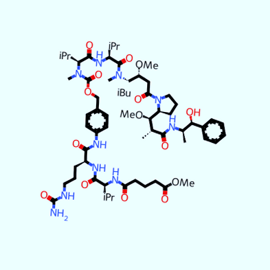 CC[C@H](C)[C@@H]([C@@H](CC(=O)N1CCC[C@H]1[C@H](OC)[C@@H](C)C(=O)N[C@H](C)[C@@H](O)c1ccccc1)OC)N(C)C(=O)[C@@H](NC(=O)[C@H](C(C)C)N(C)C(=O)OCc1ccc(NC(=O)[C@H](CCCNC(N)=O)NC(=O)[C@@H](NC(=O)CCCC(=O)OC)C(C)C)cc1)C(C)C